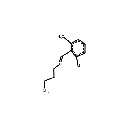 CCCC/N=C/c1c(C)cccc1Cl